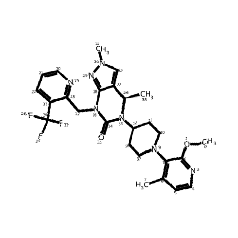 COc1nccc(C)c1N1CCC(N2C(=O)N(Cc3ncccc3C(F)(F)F)c3nn(C)cc3[C@H]2C)CC1